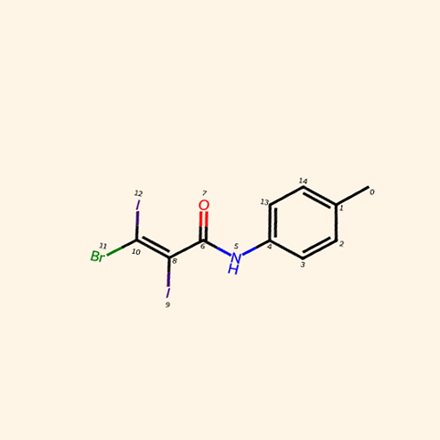 Cc1ccc(NC(=O)C(I)=C(Br)I)cc1